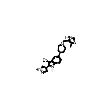 CCc1c(-c2cn[nH]c2)[nH]c2ccc(C3CCN(Cc4[nH]cnc4C)CC3)cc12